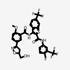 COc1ccc(C2=NOC(CO)C2)cc1C(=O)Nc1c(C(=O)Nc2ccc(F)c(C(F)(F)F)c2)sc2cc(C(F)(F)F)ccc12